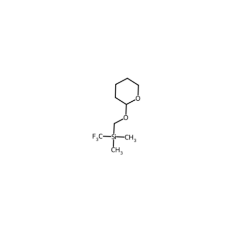 C[Si](C)(COC1CCCCO1)C(F)(F)F